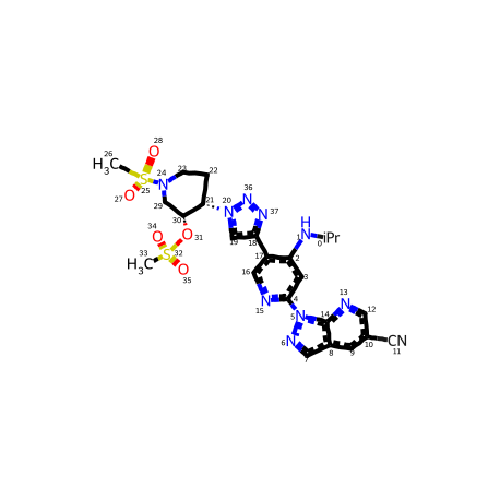 CC(C)Nc1cc(-n2ncc3cc(C#N)cnc32)ncc1-c1cn([C@H]2CCN(S(C)(=O)=O)C[C@H]2OS(C)(=O)=O)nn1